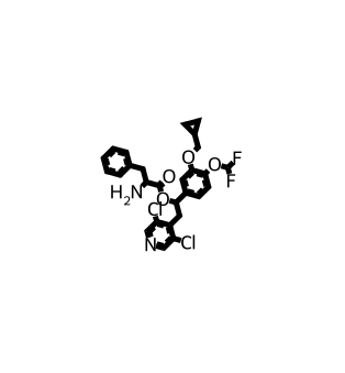 NC(Cc1ccccc1)C(=O)OC(Cc1c(Cl)cncc1Cl)c1ccc(OC(F)F)c(OCC2CC2)c1